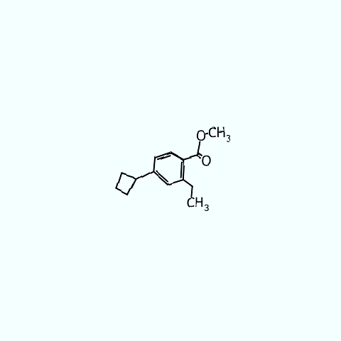 CCc1cc(C2CCC2)ccc1C(=O)OC